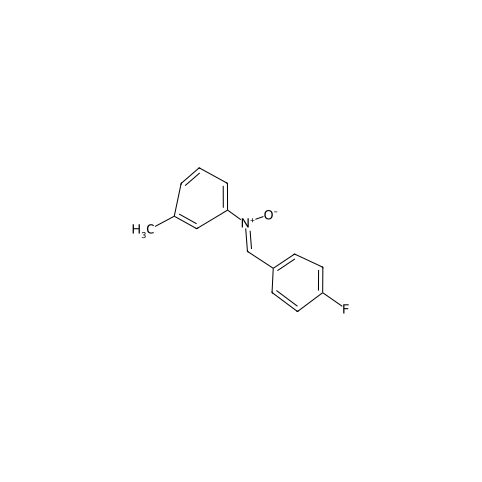 Cc1cccc([N+]([O-])=Cc2ccc(F)cc2)c1